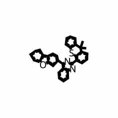 CC1(C)c2ccccc2Sc2c(-c3nc(-c4ccc5c(c4)oc4ccccc45)c4ccccc4n3)cccc21